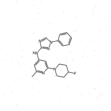 Cc1cc(Nc2ncn(-c3ccccc3)n2)cc(N2CCC(F)CC2)n1